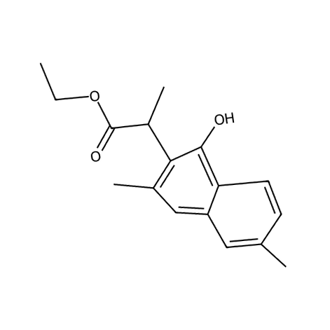 CCOC(=O)C(C)c1c(C)cc2cc(C)ccc2c1O